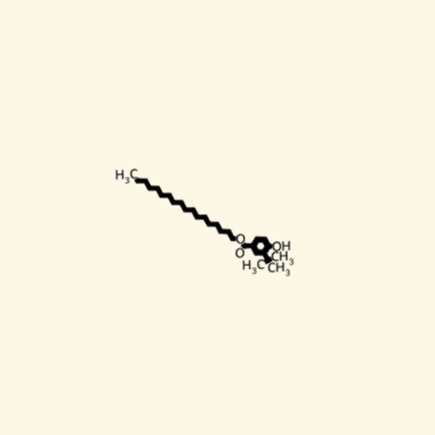 CCCCCCCCCCCCCCCCCCOC(=O)c1ccc(O)c(C(C)(C)C)c1